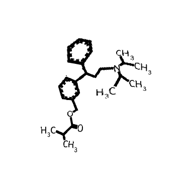 CC(C)C(=O)OCc1cc[c]c(C(CCN(C(C)C)C(C)C)c2ccccc2)c1